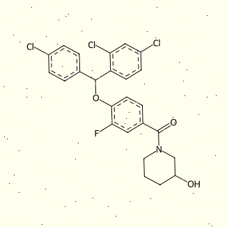 O=C(c1ccc(OC(c2ccc(Cl)cc2)c2ccc(Cl)cc2Cl)c(F)c1)N1CCCC(O)C1